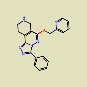 c1ccc(-c2nnc3c4c(c(OCc5ccccn5)nn23)CNCC4)cc1